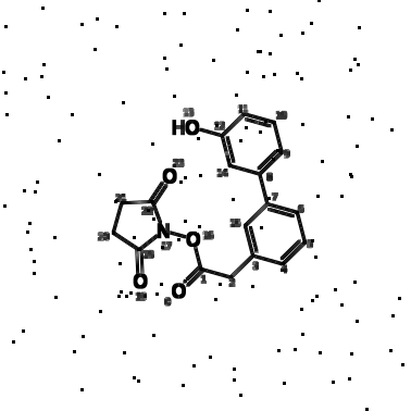 O=C(Cc1cccc(-c2cccc(O)c2)c1)ON1C(=O)CCC1=O